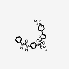 CN1CCC(C2=CCC(S(=O)(=O)N(C)c3ccc(NC(=O)Nc4ccccc4)cc3)S2)CC1